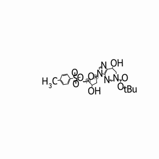 Cc1ccc(S(=O)(=O)OC[C@H]2O[C@@H](n3cnc4c3N=CN(C(=O)OC(C)(C)C)CC4O)CC2O)cc1